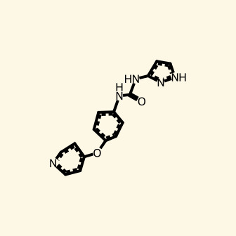 O=C(Nc1ccc(Oc2ccncc2)cc1)Nc1cc[nH]n1